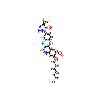 COc1cc2c(Oc3ccc(NC(=O)C4(C)CC4)cc3F)ccnc2cc1OCC/C=C/CCS